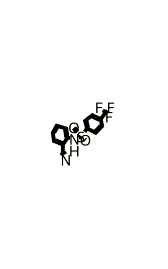 N#Cc1ccccc1NS(=O)(=O)c1ccc(C(F)(F)F)cc1